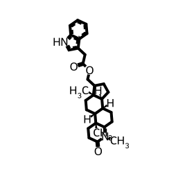 CN1C(=O)CC[C@@]2(C)C1CC[C@@H]1[C@H]2CC[C@]2(C)C(COC(=O)Cc3c[nH]c4ccccc34)CC[C@@H]12